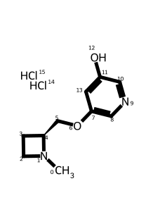 CN1CC[C@H]1COc1cncc(O)c1.Cl.Cl